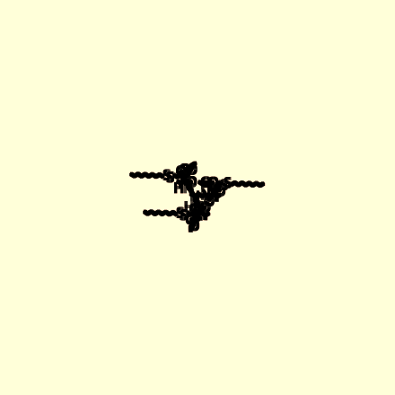 CCCCCCCCCCSSCCC(=O)N(CC(=O)OCC)C(C(=O)NCCN(CCNC(=O)C(C(C)C)N(CC(=O)OCC)C(=O)CCSSCCCCCCCCCC)CCNC(=O)C(C(C)C)N(CC(=O)OCC)C(=O)CCSSCCCCCCCCCC)C(C)C